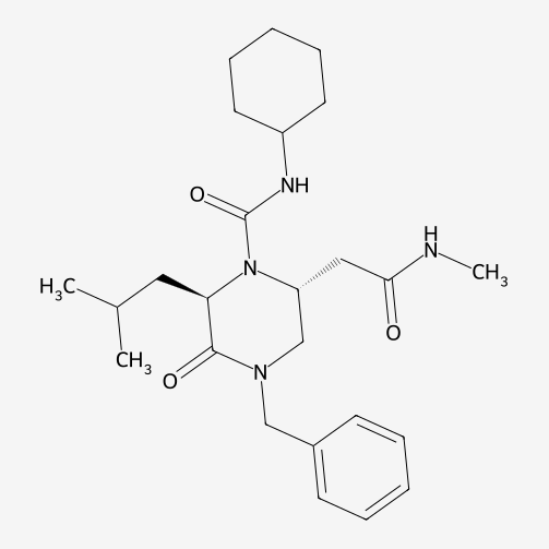 CNC(=O)C[C@@H]1CN(Cc2ccccc2)C(=O)[C@@H](CC(C)C)N1C(=O)NC1CCCCC1